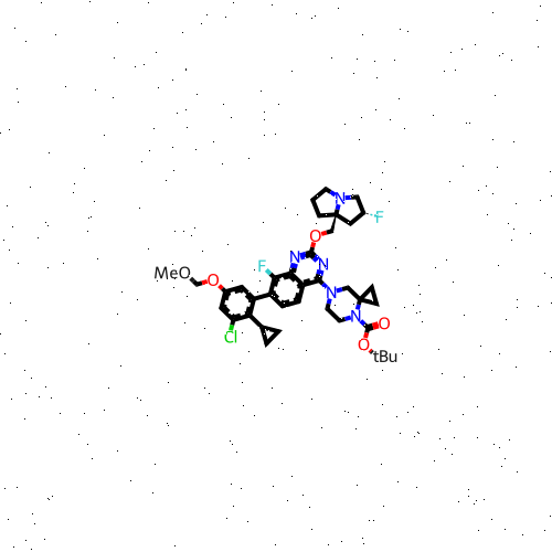 COCOc1cc(Cl)c(C2CC2)c(-c2ccc3c(N4CCN(C(=O)OC(C)(C)C)C5(CC5)C4)nc(OC[C@@]45CCCN4C[C@H](F)C5)nc3c2F)c1